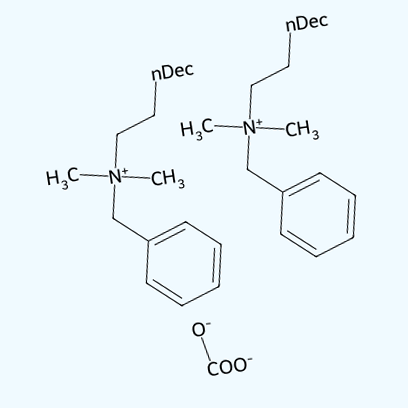 CCCCCCCCCCCC[N+](C)(C)Cc1ccccc1.CCCCCCCCCCCC[N+](C)(C)Cc1ccccc1.O=C([O-])[O-]